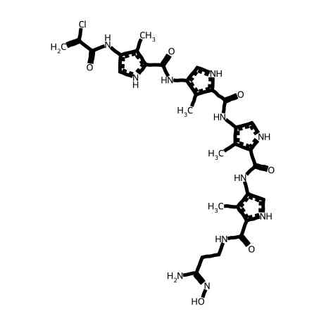 C=C(Cl)C(=O)Nc1c[nH]c(C(=O)Nc2c[nH]c(C(=O)Nc3c[nH]c(C(=O)Nc4c[nH]c(C(=O)NCCC(N)=NO)c4C)c3C)c2C)c1C